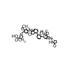 COc1cc(N[C@H]2CCc3c(-c4cccc(-c5ccc(CNC[C@@H]6CCC(=O)N6)c(OC)n5)c4Cl)cccc32)c(Cl)cc1CN1CC[C@@](C)(C(=O)O)C1